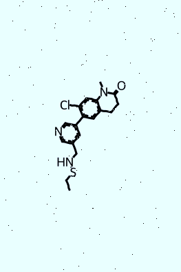 CCSNCc1cncc(-c2cc3c(cc2Cl)N(C)C(=O)CC3)c1